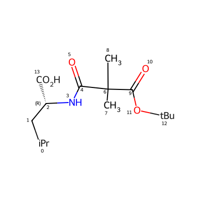 CC(C)C[C@@H](NC(=O)C(C)(C)C(=O)OC(C)(C)C)C(=O)O